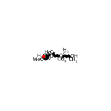 C=C/C(=C\C=C(/C)OC(=O)/C(C)=C/C=C(\C)O)OC(=O)C(/C=C\C(=C)OC)=C/C